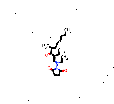 C=C/C(=C\N(C=C)N1C(=O)CCC1=O)C(=O)C(C)CCCCCC